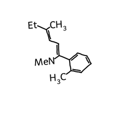 CCC(C)=C/C=C(\NC)c1ccccc1C